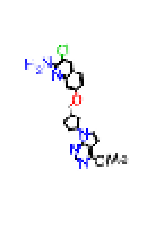 COc1ncnc2c1ccn2[C@H]1CC[C@@H](COc2ccc3cc(Cl)c(N)nc3c2)C1